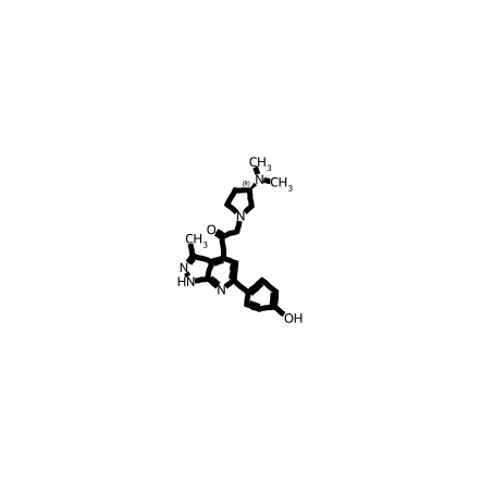 Cc1n[nH]c2nc(-c3ccc(O)cc3)cc(C(=O)CN3CC[C@@H](N(C)C)C3)c12